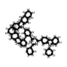 c1ccc(-c2nc(-c3ccc4c5ccccc5n(-c5ccccc5)c4c3)nc(-c3ccc(-n4c5ccccc5c5cc6ccccc6cc54)cc3-c3cccc4sc5cc6ccccc6cc5c34)n2)cc1